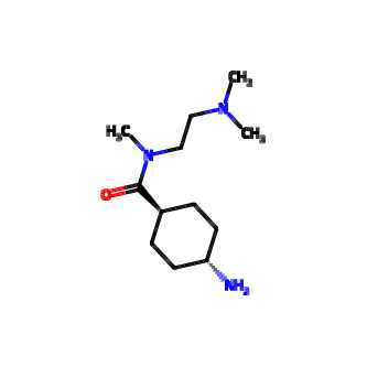 CN(C)CCN(C)C(=O)[C@H]1CC[C@H](N)CC1